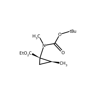 CCOC(=O)[C@]1(N(C)C(=O)OC(C)(C)C)C[C@@H]1C